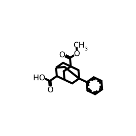 COC(=O)C12CC3CC(c4ccccc4)(CC(C1)C3C(=O)O)C2